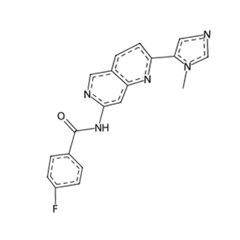 Cn1cncc1-c1ccc2cnc(NC(=O)c3ccc(F)cc3)cc2n1